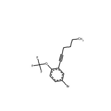 CCCCC#Cc1cc(Br)ccc1OC(F)(F)F